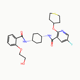 O=C(N[C@H]1CC[C@@H](NC(=O)c2cc(F)cnc2OC2CCSCC2)CC1)c1ccccc1OCCO